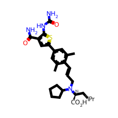 Cc1cc(-c2cc(C(N)=O)c(NC(N)=O)s2)cc(C)c1C=CCN(C1CCCC1)[C@@H](CC(C)C)C(=O)O